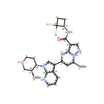 CNc1cc(-c2cn([C@@H]3CCOC[C@@H]3OC)c3ncccc23)nc2c(C(=O)N[C@@H]3CCC3(F)F)cnn12